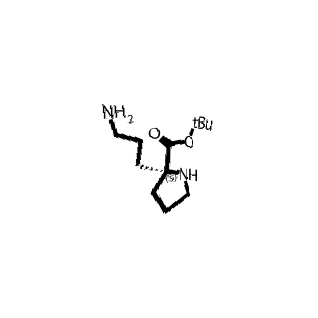 CC(C)(C)OC(=O)[C@]1(CCCN)CCCN1